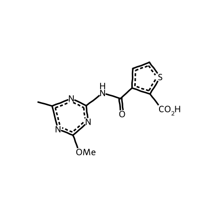 COc1nc(C)nc(NC(=O)c2ccsc2C(=O)O)n1